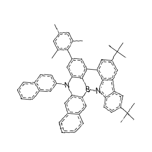 Cc1cc(C)c(-c2cc3c4c(c2)N(c2ccc5ccccc5c2)c2cc5ccccc5cc2B4n2c4ccc(C(C)(C)C)cc4c4cc(C(C)(C)C)cc-3c42)c(C)c1